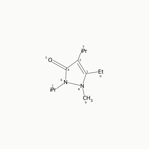 CCc1c(C(C)C)c(=O)n(C(C)C)n1C